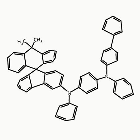 CC1(C)c2ccccc2C2(c3ccccc3-c3cc(N(c4ccccc4)c4ccc(N(c5ccccc5)c5ccc(-c6ccccc6)cc5)cc4)ccc32)c2ccccc21